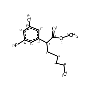 COC(=O)C(CCCCCl)c1cc(F)cc(Cl)c1